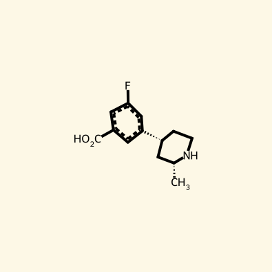 C[C@@H]1C[C@H](c2cc(F)cc(C(=O)O)c2)CCN1